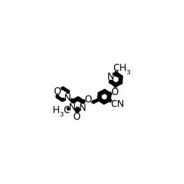 Cc1ccc(Oc2ccc(COc3cc(N4CCOCC4)n(C)c(=O)n3)cc2C#N)cn1